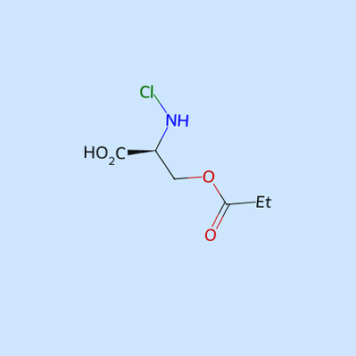 CCC(=O)OC[C@H](NCl)C(=O)O